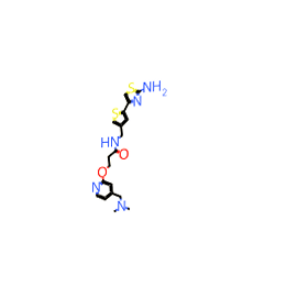 CN(C)Cc1ccnc(OCCC(=O)NCc2csc(-c3csc(N)n3)c2)c1